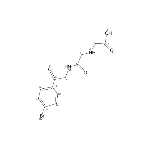 O=C(O)CNCC(=O)NCC(=O)c1ccc(Br)cc1